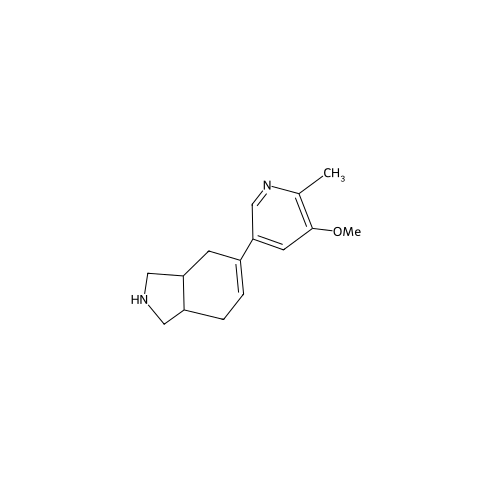 COc1cc(C2=CCC3CNCC3C2)cnc1C